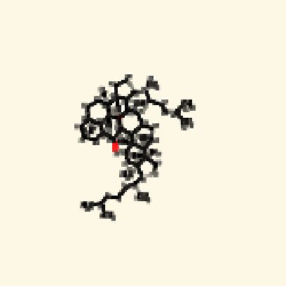 CC(C)CCC[C@@H](C)[C@H]1CC[C@H]2[C@@H]3CCC4CCCC(C(=O)C5CCCC6CC[C@@H]7[C@H](CC[C@]8(C)[C@@H]([C@H](C)CCCC(C)C)CC[C@@H]78)[C@]65C)[C@]4(C)[C@H]3CC[C@]12C